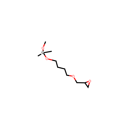 CO[Si](C)(C)OCCCCOCC1CO1